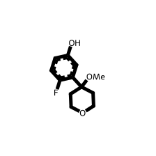 COC1(c2cc(O)ccc2F)CCOCC1